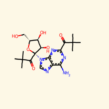 CC(C)(C)C(=O)c1nc(N)c2ncn([C@]3(C(=O)C(C)(C)C)O[C@H](CO)[C@@H](O)[C@H]3O)c2n1